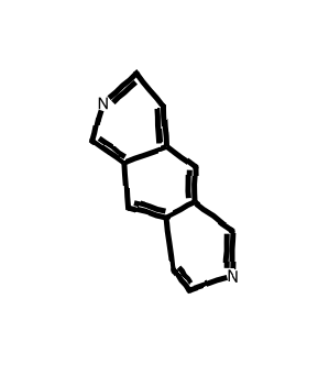 c1cc2cc3cnccc3cc2cn1